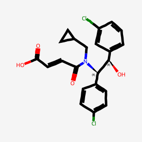 O=C(O)C=CC(=O)N(CC1CC1)[C@H](c1ccc(Cl)cc1)[C@H](O)c1cccc(Cl)c1